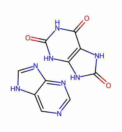 O=c1[nH]c(=O)c2[nH]c(=O)[nH]c2[nH]1.c1ncc2[nH]cnc2n1